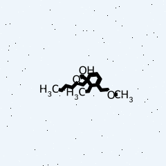 CCCCCCC1(C(=O)O)C=CC=C(CCOC)C1CC